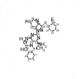 CC(c1ccccc1)N(C(=O)O)c1c(N)nc(-n2nc(Cc3ccccc3F)c3ncc(F)cc32)nc1N